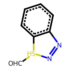 O=C[SH]1N=Nc2ccccc21